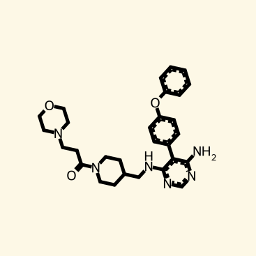 Nc1ncnc(NCC2CCN(C(=O)CCN3CCOCC3)CC2)c1-c1ccc(Oc2ccccc2)cc1